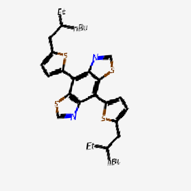 CCCCC(CC)Cc1ccc(-c2c3ncsc3c(-c3ccc(CC(CC)CCCC)s3)c3ncsc23)s1